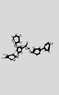 O=C(OCOc1ccc(-c2ccccc2)cc1)c1cc(OC2CCCCO2)cc(OC2CCCCO2)c1